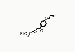 C=CCOc1ccc(C(=O)COCC(=O)OCC)cc1